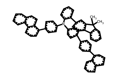 CC1(C)c2ccccc2-c2ccc(-c3ccccc3N(c3ccc(-c4ccc(-c5cccc6ccccc56)cc4)cc3)c3ccc(-c4cccc5c4ccc4ccccc45)cc3)cc21